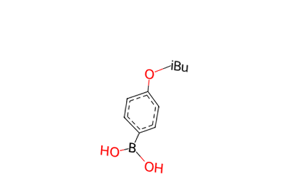 CCC(C)Oc1ccc(B(O)O)cc1